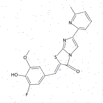 COc1cc(/C=c2\sc3nc(-c4cccc(C)n4)cn3c2=O)cc(F)c1O